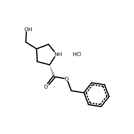 Cl.O=C(OCc1ccccc1)[C@@H]1CC(CO)CN1